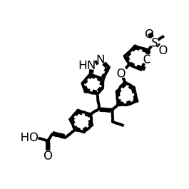 CCC(=C(c1ccc(C=CC(=O)O)cc1)c1ccc2[nH]ncc2c1)c1cccc(Oc2ccc(S(C)(=O)=O)cc2)c1